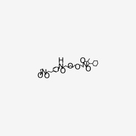 CC1C(=O)N(CCOCCOCCC(=O)Nc2ccc(CCC(=O)N3CCC3=O)cc2)C(=O)C1C1CCCCC1